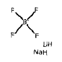 F[B-](F)(F)F.[LiH].[NaH]